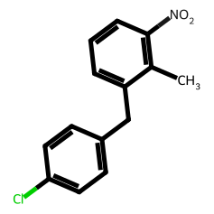 Cc1c(Cc2ccc(Cl)cc2)cccc1[N+](=O)[O-]